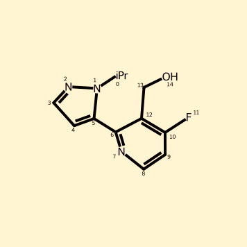 CC(C)n1nccc1-c1nccc(F)c1CO